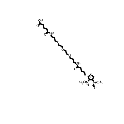 CNC1C(N(C)C=O)CS[C@H]1CCCCC(=O)NCCCOCCOCCOCCCNC(=O)CCCC(=O)O